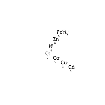 [Cd].[Co].[Cr].[Cu].[Ni].[PbH2].[Zn]